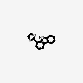 c1ccc2c(c1)[nH]c1c(-c3ncco3)cccc12